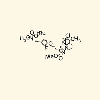 COC(=O)c1nc(N2CCCc3c2nnc(Cl)c3C)sc1CCCOc1ccc(C#CCN(C)C(=O)OC(C)(C)C)cc1F